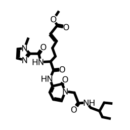 CCC(CC)CNC(=O)Cn1cccc(NC(=O)C(CC/C=C/C(=O)OC)NC(=O)c2nccn2C)c1=O